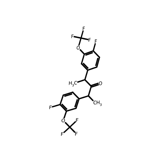 CC(C(=O)C(C)c1ccc(F)c(OC(F)(F)F)c1)c1ccc(F)c(OC(F)(F)F)c1